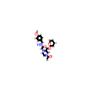 COc1ccc(CNC(=O)CN2CCN(C(C)=O)CC2COC2CCCCO2)cc1